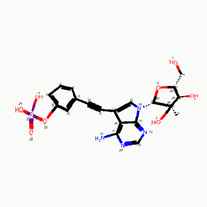 C[C@@]1(O)[C@H](O)[C@@H](CO)O[C@H]1n1cc(C#Cc2cccc(OP(=O)(O)O)c2)c2c(N)ncnc21